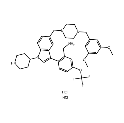 COc1cc(CN2CCN(Cc3ccc4c(c3)c(-c3ccc(OC(F)(F)F)cc3CN)cn4C3CCNCC3)CC2)cc(OC)c1.Cl.Cl